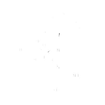 CCCCN(CCN)C(=O)CN1C[C@H](c2cc(OC)c3c(c2)OCO3)[C@@H](C(=O)O)[C@@H]1CC(C)(C)C=C(C)C